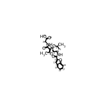 Cc1oc([C@H](CC(C)C)NC(=O)c2cc3ccccc3o2)nc1C(=O)NCC(=O)O